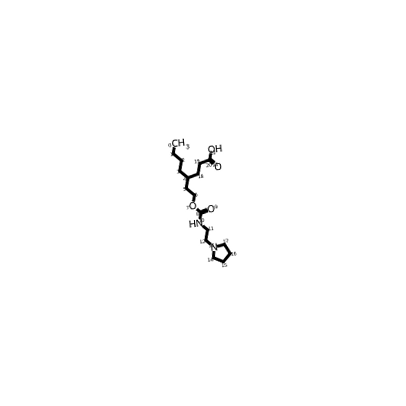 CCCCC(CCOC(=O)NCCN1CCCC1)CCC(=O)O